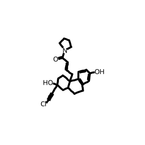 O=C(C=CCC12CCC(O)(C#CCl)CC1CCc1cc(O)ccc12)N1CCCC1